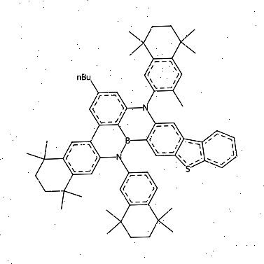 CCCCc1cc2c3c(c1)N(c1cc4c(cc1C)C(C)(C)CCC4(C)C)c1cc4c(cc1B3N(c1ccc3c(c1)C(C)(C)CCC3(C)C)c1cc3c(cc1-2)C(C)(C)CCC3(C)C)sc1ccccc14